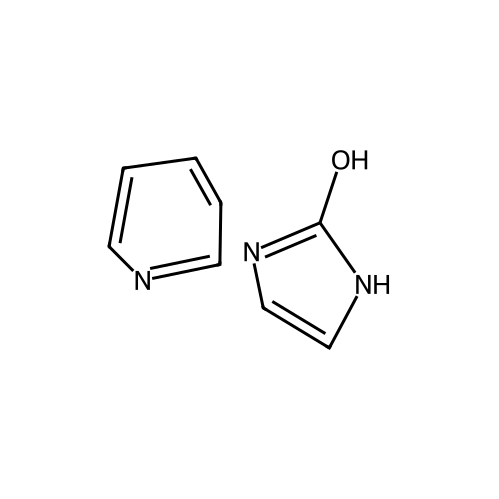 Oc1ncc[nH]1.c1ccncc1